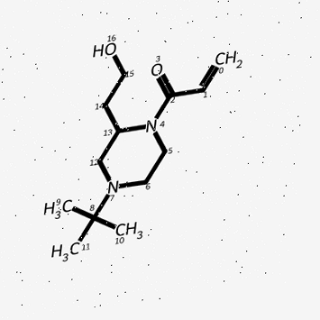 C=CC(=O)N1CCN(C(C)(C)C)CC1CCO